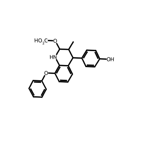 CC1C(OC(=O)O)Nc2c(Oc3ccccc3)cccc2C1c1ccc(O)cc1